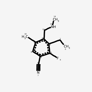 CCc1c(F)c(C#N)cc(C)c1CNC